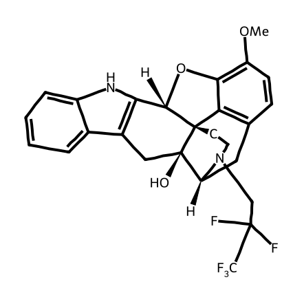 COc1ccc2c3c1O[C@H]1c4[nH]c5ccccc5c4C[C@@]4(O)[C@@H](C2)N(CC(F)(F)C(F)(F)F)CC[C@]314